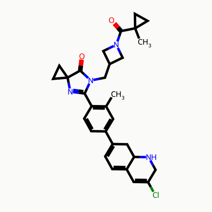 Cc1cc(C2=CC=C3C=C(Cl)CNC3C2)ccc1C1=NC2(CC2)C(=O)N1CC1CN(C(=O)C2(C)CC2)C1